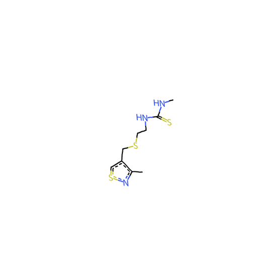 CNC(=S)NCCSCc1csnc1C